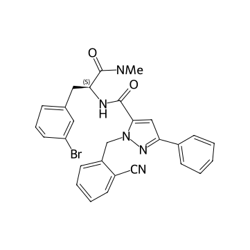 CNC(=O)[C@H](Cc1cccc(Br)c1)NC(=O)c1cc(-c2ccccc2)nn1Cc1ccccc1C#N